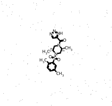 Cc1ccc(C)c(S(=O)(=O)N2C[C@H](C)N(C(=O)c3cnn[nH]3)C[C@H]2C)c1